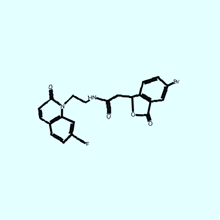 O=C(CC1OC(=O)c2cc(Br)ccc21)NCCn1c(=O)ccc2ccc(F)cc21